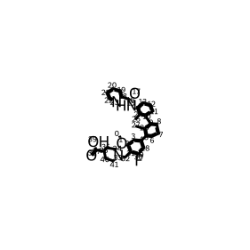 COc1cc(-c2cccc(-c3cccc(NC(=O)c4ccccn4)c3C)c2C)cc(F)c1CN1CCC(C(=O)O)CC1